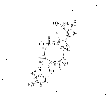 Nc1nc2c(ncn2[C@@H]2O[C@@H]3COP(=O)(O)OC4C(O)[C@H](n5cnc6c(N)ncnc65)C[C@@H]4COP(=O)(O)OC3C2F)c(=O)[nH]1